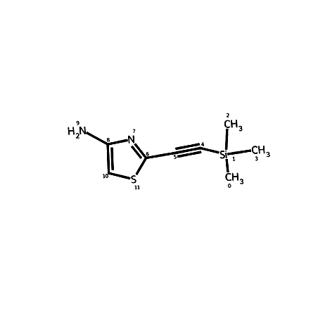 C[Si](C)(C)C#Cc1nc(N)cs1